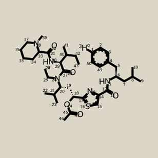 [3H]c1ccc(C[C@@H](CC(C)C)NC(=O)c2csc([C@@H](C[C@H](C(C)C)N(CC)C(=O)[C@@H](NC(=O)C3CCCCN3C)C(C)CC)OC(C)=O)n2)cc1